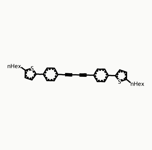 CCCCCCc1ccc(-c2ccc(C#CC#Cc3ccc(-c4ccc(CCCCCC)s4)cc3)cc2)s1